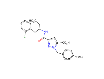 COc1ccc(Cn2nc(C(=O)NC(CC(=O)O)Cc3ccccc3Cl)cc2C(=O)O)cc1